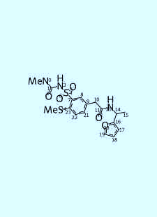 CNC(=O)NS(=O)(=O)c1cc(CC(=O)NC(C)c2ccco2)ccc1SC